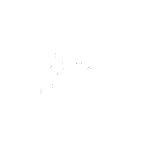 CNC(N)=NC(=O)c1cc2c(Cl)ccc(Oc3ccccc3N)c2[nH]1